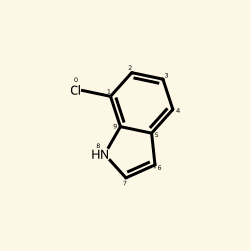 Clc1cccc2[c]c[nH]c12